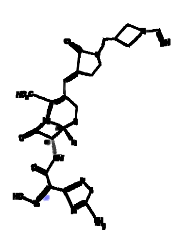 N=CN1CC(CN2CCC(=CC3=C(C(=O)O)N4C(=O)[C@@H](NC(=O)/C(=N\O)c5nsc(N)n5)[C@H]4SC3)C2=O)C1